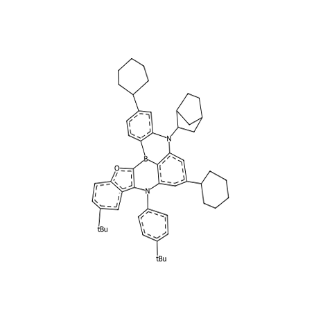 CC(C)(C)c1ccc(N2c3cc(C4CCCCC4)cc4c3B(c3ccc(C5CCCCC5)cc3N4C3CC4CCC3C4)c3oc4ccc(C(C)(C)C)cc4c32)cc1